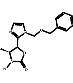 CC(C)N1C(=O)O[C@H](c2nccn2COCc2ccccc2)[C@@H]1C